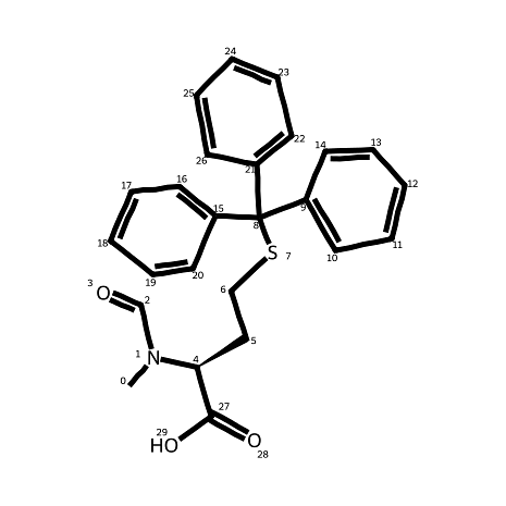 CN(C=O)[C@@H](CCSC(c1ccccc1)(c1ccccc1)c1ccccc1)C(=O)O